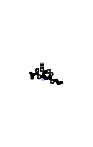 C=C(C)C(=O)O/C(=C/C(=O)OCCC)C(=O)O